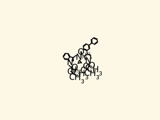 CC(C)OC(=O)Cn1cc(CN(C(=O)[C@H]2CN(C(=O)OC(C)(C)C)CC[C@@H]2c2cccc(-c3ccccc3)c2)C2CC2)c2ccccc21